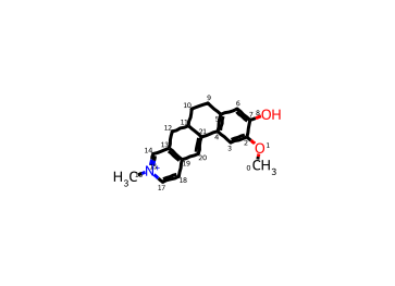 COc1cc2c(cc1O)CCC1Cc3c[n+](C)ccc3C=C21